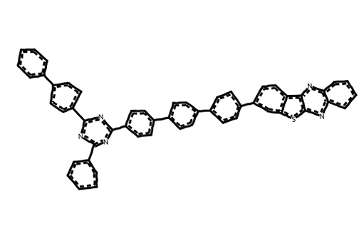 c1ccc(-c2ccc(-c3nc(-c4ccccc4)nc(-c4ccc(-c5ccc(-c6ccc(-c7ccc8c(c7)sc7nc9ccccc9nc78)cc6)cc5)cc4)n3)cc2)cc1